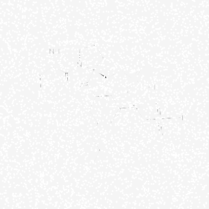 CCCCCC(CC(=O)NOS(=O)(=O)O)C(=O)[C@@]1(COS(=O)(=O)O)CCCN1C(=O)[C@@H](N)C(C)C